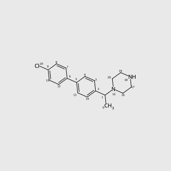 CC(c1ccc(-c2ccc(Cl)cc2)cc1)N1CCNCC1